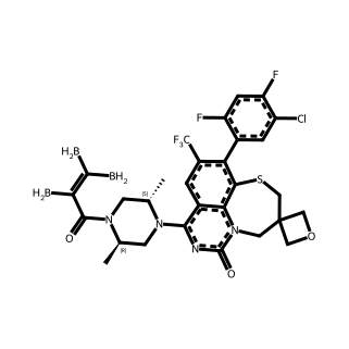 BC(B)=C(B)C(=O)N1C[C@H](C)N(c2nc(=O)n3c4c(c(-c5cc(Cl)c(F)cc5F)c(C(F)(F)F)cc24)SCC2(COC2)C3)C[C@H]1C